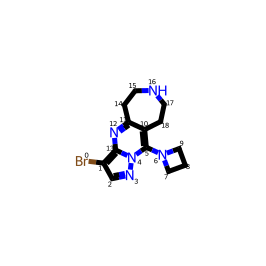 Brc1cnn2c(N3CCC3)c3c(nc12)CCNCC3